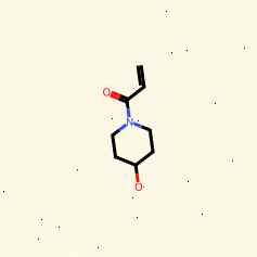 C=CC(=O)N1CCC([O])CC1